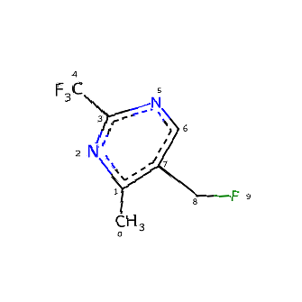 Cc1nc(C(F)(F)F)ncc1CF